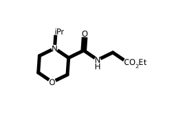 CCOC(=O)CNC(=O)C1COCCN1C(C)C